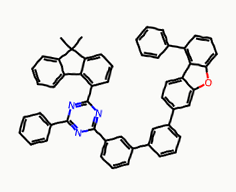 CC1(C)c2ccccc2-c2c(-c3nc(-c4ccccc4)nc(-c4cccc(-c5cccc(-c6ccc7c(c6)oc6cccc(-c8ccccc8)c67)c5)c4)n3)cccc21